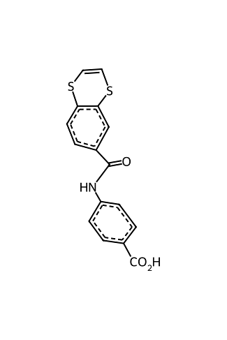 O=C(O)c1ccc(NC(=O)c2ccc3c(c2)SC=CS3)cc1